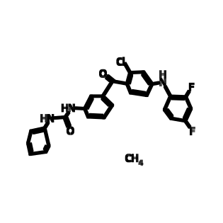 C.O=C(Nc1ccccc1)Nc1cccc(C(=O)c2ccc(Nc3ccc(F)cc3F)cc2Cl)c1